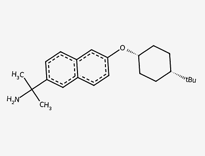 CC(C)(N)c1ccc2cc(O[C@H]3CC[C@@H](C(C)(C)C)CC3)ccc2c1